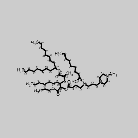 CCCCCCCCC(O)CN(CCCC(=O)OC(C(=O)OCCC)C(CCCCCCC)SC(C)C(=O)OC(CCCCCCCC)CCCCCCCC)CCCN1CCN(C)CC1